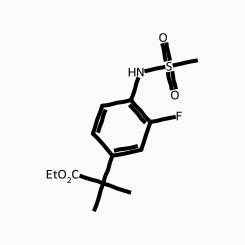 CCOC(=O)C(C)(C)c1ccc(NS(C)(=O)=O)c(F)c1